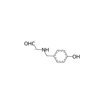 O=C[CH]NCc1ccc(O)cc1